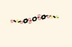 COCCSCCOc1ccc(OC(=O)[C@H]2CC[C@H](C(=O)Oc3ccc(COCSCCSC)cc3)CC2)cc1